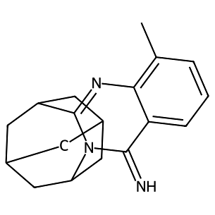 Cc1cccc2c(=N)n3c(nc12)C1CC2CC(C1)CC3C2